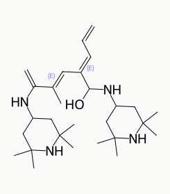 C=C/C=C(\C=C(/C)C(=C)NC1CC(C)(C)NC(C)(C)C1)C(O)NC1CC(C)(C)NC(C)(C)C1